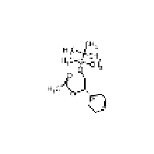 CC(=O)OC(CO[Si](C)(C)C(C)(C)C)[C@@H]1CC=CCC1